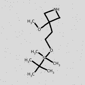 COC1(CCO[Si](C)(C)C(C)(C)C)CNC1